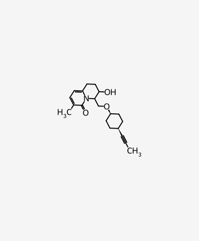 CC#C[C@H]1CC[C@@H](OCC2C(O)CCc3ccc(C)c(=O)n32)CC1